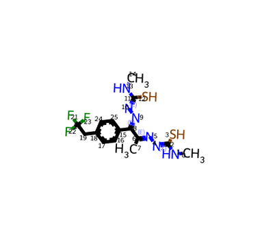 CN/C(S)=N/N=C(C)/C(=N/N=C(\S)NC)c1ccc(CC(F)(F)F)cc1